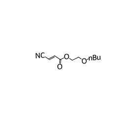 CCCCOCCOC(=O)C=CC#N